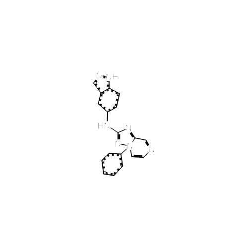 C1=C[N+]2(c3ccccc3)N=C(Nc3ccc4[nH]ncc4c3)N=C2C=N1